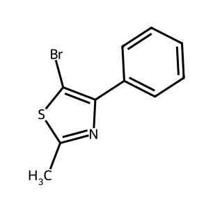 Cc1nc(-c2ccccc2)c(Br)s1